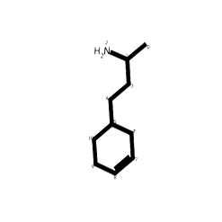 CC(N)CCC1CC=CCC1